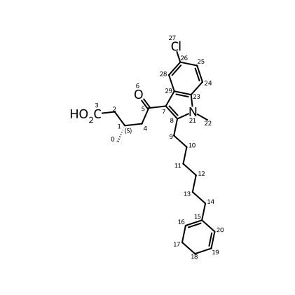 C[C@H](CC(=O)O)CC(=O)c1c(CCCCCCC2=CCCC=C2)n(C)c2ccc(Cl)cc12